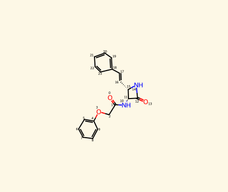 O=C(COc1ccccc1)N[C@H]1C(=O)N[C@H]1C=Cc1ccccc1